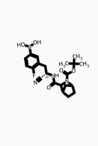 CC(C)(C)OC(=O)N1C2CCC(C2)C1C(=O)N[C@H](C#N)Cc1cc(B(O)O)ccc1F